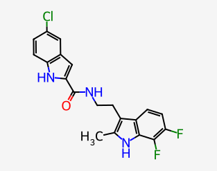 Cc1[nH]c2c(F)c(F)ccc2c1CCNC(=O)c1cc2cc(Cl)ccc2[nH]1